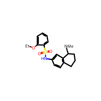 CCOc1ccccc1S(=O)(=O)Nc1ccc2c(c1)C(NC)CCC2